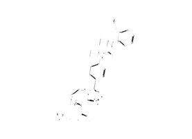 COC(=O)c1nccn2c(-c3ccc(NC(=O)Nc4ccccc4OC(F)(F)F)cc3)nnc12